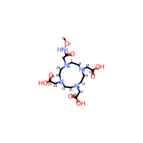 CONC(=O)CN1CCN(CC(=O)O)CCN(CC(=O)O)CCN(CC(=O)O)CC1